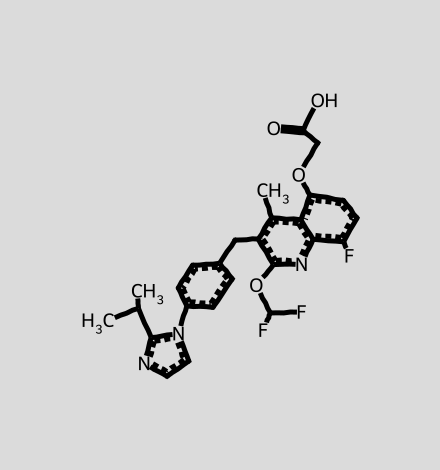 Cc1c(Cc2ccc(-n3ccnc3C(C)C)cc2)c(OC(F)F)nc2c(F)ccc(OCC(=O)O)c12